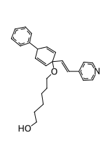 OCCCCCCOC1(/C=C/c2ccncc2)C=CC(c2ccccc2)C=C1